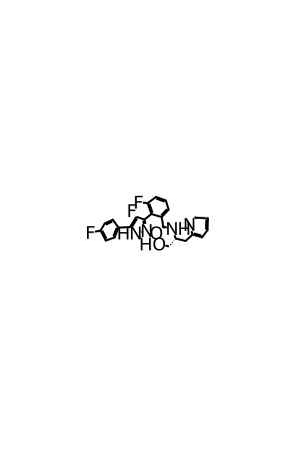 O=C(N[C@@H](CO)Cc1ccccn1)c1cccc(F)c1-c1n[nH]c(-c2ccc(F)cc2)c1F